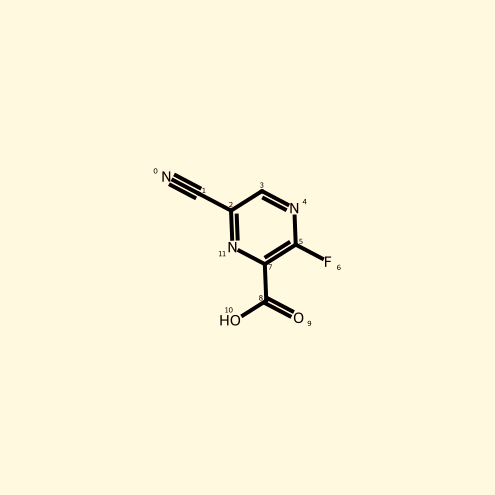 N#Cc1cnc(F)c(C(=O)O)n1